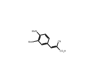 CNc1ccc(/C=C(\C#N)C(=O)O)cc1NC